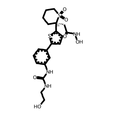 O=C(C[C@]1(c2ccc(-c3cccc(NC(=O)NCCO)c3)s2)CCCCS1(=O)=O)NO